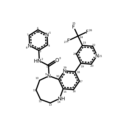 O=C(Nc1cnccn1)N1CCCCNc2ccc(-c3cncc(C(F)(F)F)c3)nc21